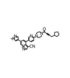 Cn1cc(-c2cc(-c3ccc(N4CCN(C(=O)C#CCC5CCCC5)CC4)nc3)c3c(C#N)cnn3c2)cn1